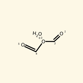 O.O=COC=O